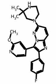 COc1cc(-c2c(-c3ccc(F)cc3)nc3ccc(N4CCNC(C)(C)C4)nn23)ccn1